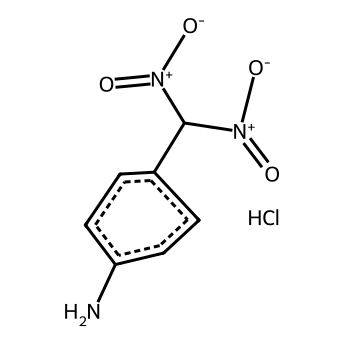 Cl.Nc1ccc(C([N+](=O)[O-])[N+](=O)[O-])cc1